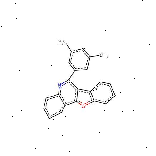 Cc1cc(C)cc(-c2nc3ccccc3c3oc4ccccc4c23)c1